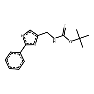 CC(C)(C)OC(=O)NCc1cnc(-c2ccccc2)s1